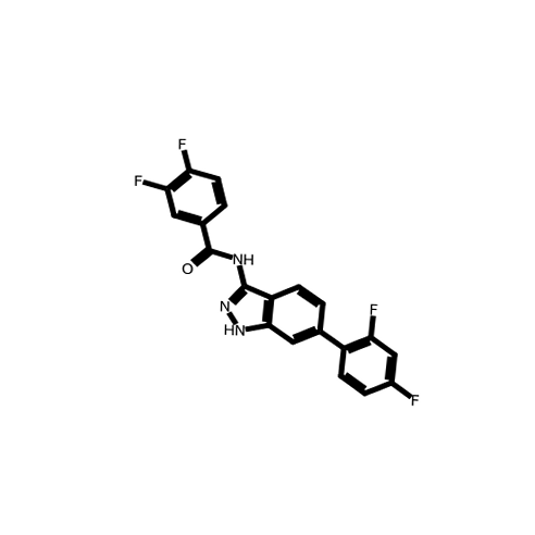 O=C(Nc1n[nH]c2cc(-c3ccc(F)cc3F)ccc12)c1ccc(F)c(F)c1